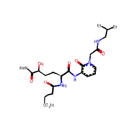 CCC(CC)CNC(=O)Cn1cccc(NC(=O)[C@H](CCC(O)C(=O)NC)NC(=O)CCC(=O)O)c1=O